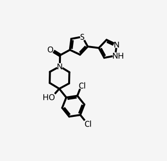 O=C(c1csc(-c2cn[nH]c2)c1)N1CCC(O)(c2ccc(Cl)cc2Cl)CC1